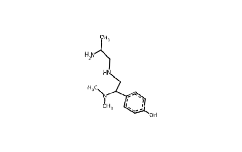 CC(N)CNCC(c1ccc(O)cc1)N(C)C